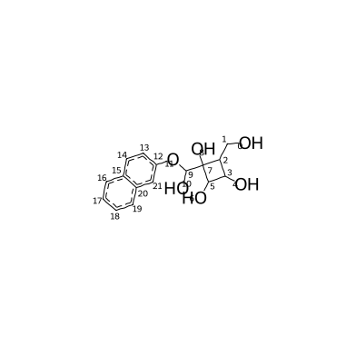 OCC1C(O)C(O)C1(O)C(O)Oc1ccc2ccccc2c1